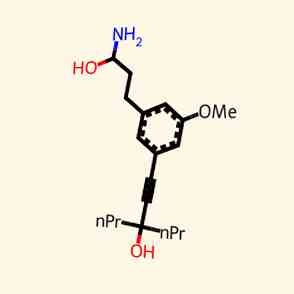 CCCC(O)(C#Cc1cc(CCC(N)O)cc(OC)c1)CCC